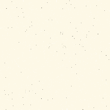 COC1=C(OC)C(CC2SC(N3CCOCC3)=NC2=O)(C2(C)CCCCC2)CC(c2ccc(O)cc2)=C1